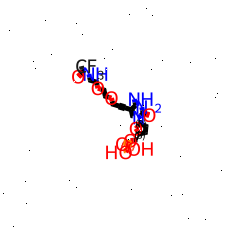 Nc1nc(=O)n([C@H]2CC[C@@H](COP(=O)(O)O)O2)cc1C#CCOCCOCCNC(=O)C(F)(F)F